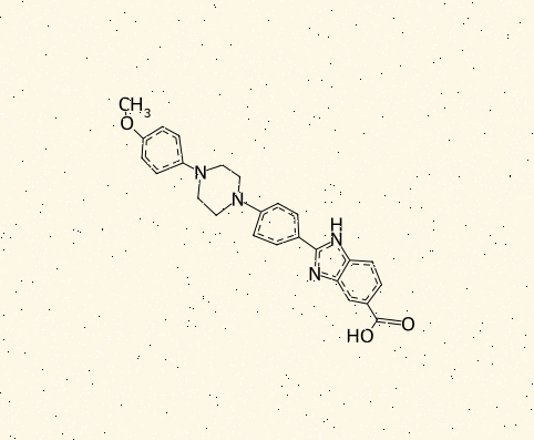 COc1ccc(N2CCN(c3ccc(-c4nc5cc(C(=O)O)ccc5[nH]4)cc3)CC2)cc1